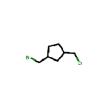 BrCC1CCC(CBr)C1